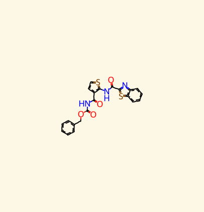 O=C(NC(=O)c1ccsc1NC(=O)c1nc2ccccc2s1)OCc1ccccc1